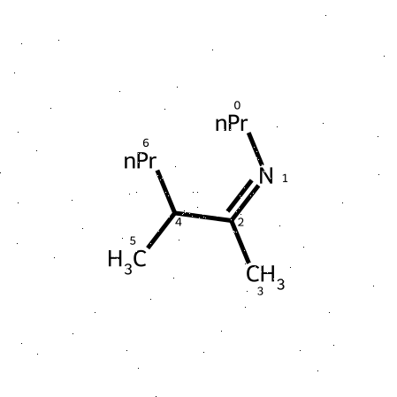 CCC/N=C(/C)C(C)CCC